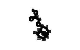 COC(=O)COC1CCCCC/C=C/1Br